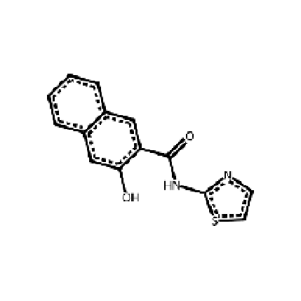 O=C(Nc1nccs1)c1cc2ccccc2cc1O